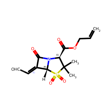 C=CCOC(=O)[C@@H]1N2C(=O)/C(=C\C=O)[C@H]2S(=O)(=O)C1(C)C